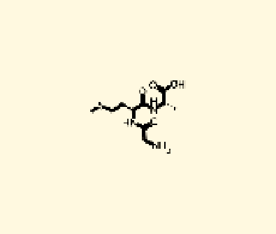 CSCC[C@H](NC(=O)CN)C(=O)N[C@@H](C)C(=O)O